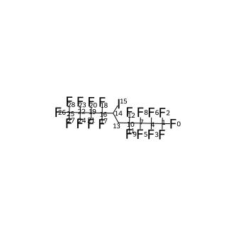 FC(F)(F)C(F)(F)C(F)(F)C(F)(F)CC(I)C(F)(F)C(F)(F)C(F)(F)C(F)(F)F